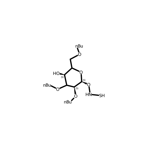 CCCCOCC1O[C@@H](ONS)[C@@H](OCCCC)C(OCCCC)[C@H]1O